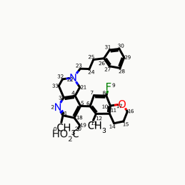 Cc1nc2c(c(-c3cc(F)c4c(c3C)CCCO4)c1CC(=O)O)CN(CCCc1ccccc1)CC2